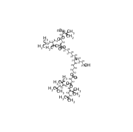 C=C(C)CCC(CCOC(CCC(=O)OCCCCCCN(CCCCO)CCCCCCOC(=O)CCC(OCC(CCC(=C)C)C(=C)C)OCC(CCC(=C)C)C(=C)C)OCC(CCCC)C(=C)C)C(=C)C